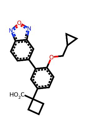 O=C(O)C1(c2ccc(OCC3CC3)c(-c3ccc4nonc4c3)c2)CCC1